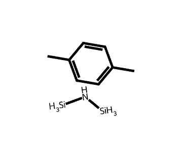 Cc1ccc(C)cc1.[SiH3]N[SiH3]